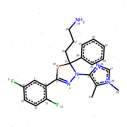 Cc1c(N2N=C(c3cc(F)ccc3F)SC2(CCCN)c2ccccc2)ncn1C